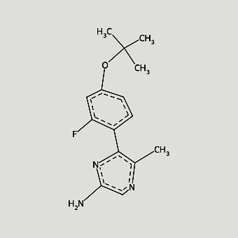 Cc1ncc(N)nc1-c1ccc(OC(C)(C)C)cc1F